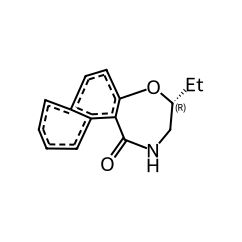 CC[C@@H]1CNC(=O)c2c(ccc3ccccc23)O1